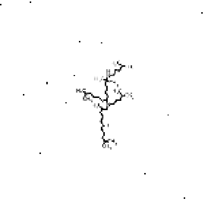 CC(C)CCCNCCCC(C)CN(CCCC(C)C)C(CCCCC(C)(C)NCCCC(C)C)NCCCC(C)C